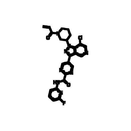 C=CC(=O)N1CCCC(n2nc(-c3cnc(C(=O)Nc4cccc(F)n4)nc3)c3cncc(Cl)c32)C1